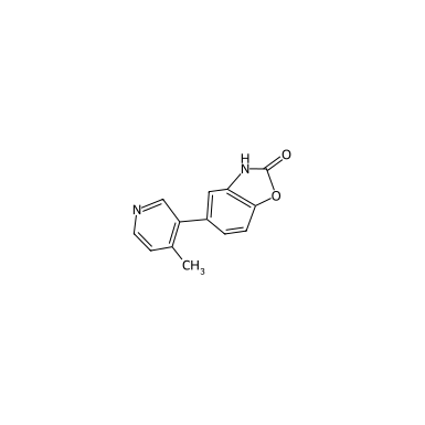 Cc1ccncc1-c1ccc2oc(=O)[nH]c2c1